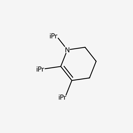 CC(C)C1=C(C(C)C)N(C(C)C)CCC1